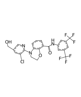 O=C(Nc1cc(C(F)(F)F)cc(C(F)(F)F)c1)c1cccc2c1OCCN2c1ncc(CO)cc1Cl